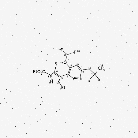 CCOC(=O)c1nn(CC)c(-c2ccc(CC(C)(C)C(F)(F)F)cc2OC(F)F)c1C